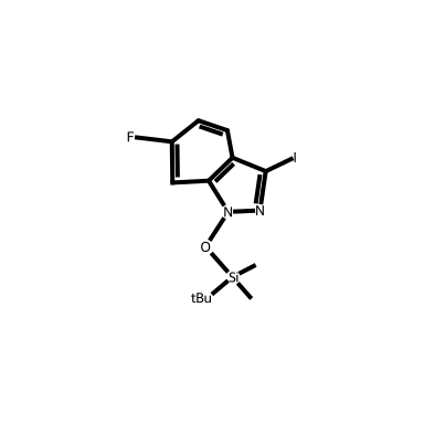 CC(C)(C)[Si](C)(C)On1nc(I)c2ccc(F)cc21